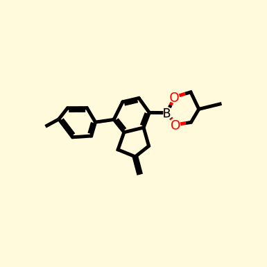 C=C1Cc2c(B3OCC(C)CO3)ccc(-c3ccc(C)cc3)c2C1